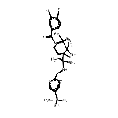 BC(B)(B)c1cnc(CNC(B)(B)C2(F)CCN(C(=O)c3ccc(F)c(Cl)c3)C(B)(B)C2(B)B)nc1